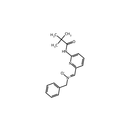 CC(C)(C)C(=O)Nc1cccc(C=[N+]([O-])Cc2ccccc2)n1